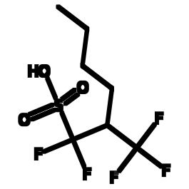 CCCCC(C(F)(F)F)C(F)(F)S(=O)(=O)O